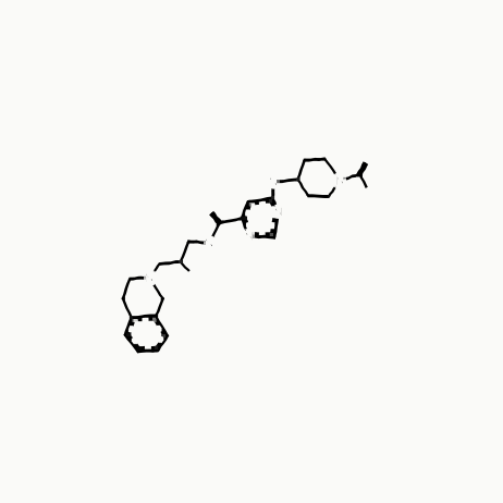 CCC(=O)N1CCC(Nc2cc(C(=O)NCC(O)CN3CCc4ccccc4C3)ncn2)CC1